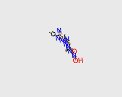 CCc1nc2sc(N3C[C@@H](C)N(CC(=O)N4CC(O)C4)[C@@H](C)C3)nn2c1N(C)c1nc(-c2ccc(C)cc2)c(C#N)s1